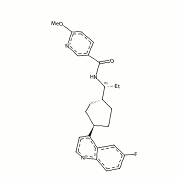 CC[C@@H](NC(=O)c1ccc(OC)nc1)[C@H]1CC[C@H](c2ccnc3ccc(F)cc32)CC1